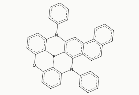 c1ccc(N2c3cccc4c3P3c5c(cccc5N(c5ccccc5)c5c3c2cc2c5ccc3ccccc32)O4)cc1